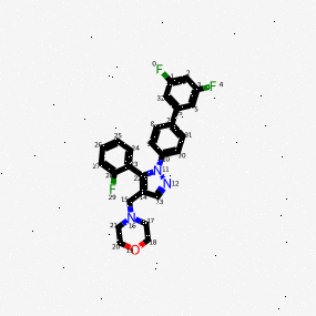 Fc1cc(F)cc(-c2ccc(-n3ncc(CN4CCOCC4)c3-c3ccccc3F)cc2)c1